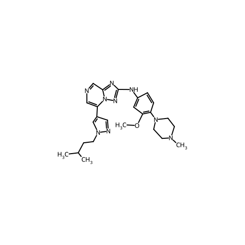 COc1cc(Nc2nc3cncc(-c4cnn(CCC(C)C)c4)n3n2)ccc1N1CCN(C)CC1